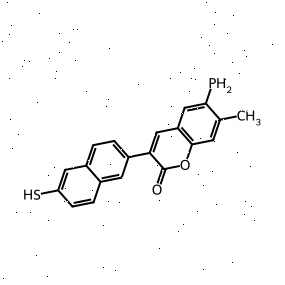 Cc1cc2oc(=O)c(-c3ccc4cc(S)ccc4c3)cc2cc1P